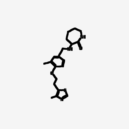 Cc1cc(CNC2CCCCNC2=O)ccc1OCCc1scnc1C